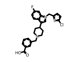 O=C(O)c1cccc(CN2CCC(c3cn(Cc4ccc(Cl)s4)c4cc(F)ccc34)CC2)c1